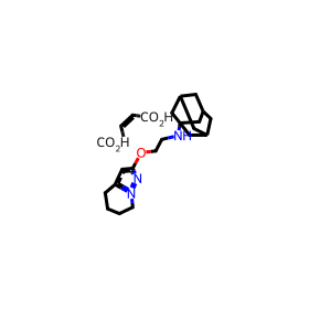 O=C(O)/C=C\C(=O)O.c1c(OCCNC23CC4CC(CC(C4)C2)C3)nn2c1CCCC2